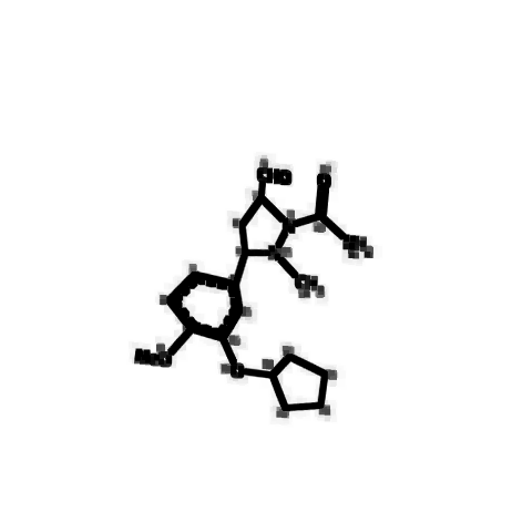 COc1ccc(C2CC(C=O)N(C(N)=O)N2C)cc1OC1CCCC1